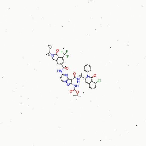 C[C@H](NC(=O)c1c(NC(=O)OC(C)(C)C)nn2ccc(NC(=O)c3cc4c(c(C(F)(F)F)c3)C(=O)N([C@@H](C)C3CC3)C4)nc12)c1cc2cccc(Cl)c2c(=O)n1-c1ccccc1